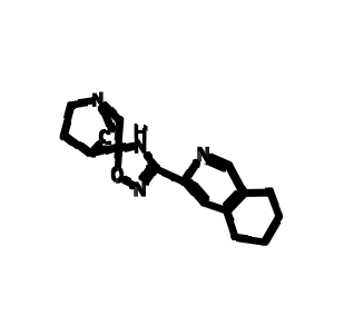 c1nc(C2=NOC3(CN4CCC3CC4)N2)cc2c1CCCC2